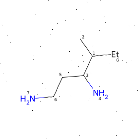 CCC(C)C(N)CCN